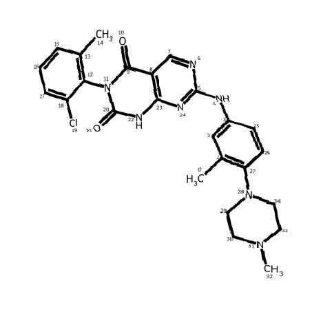 Cc1cc(Nc2ncc3c(=O)n(-c4c(C)cccc4Cl)c(=O)[nH]c3n2)ccc1N1CCN(C)CC1